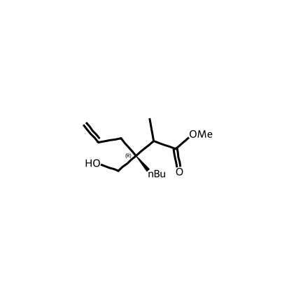 C=CC[C@](CO)(CCCC)C(C)C(=O)OC